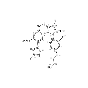 COc1cc2ncc3c(c2cc1-c1cnn(C)c1)n(-c1ncc(OCCO)cc1F)c(=O)n3C